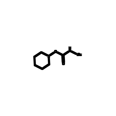 CC(C)(C)NC(=O)ON1CCCCC1